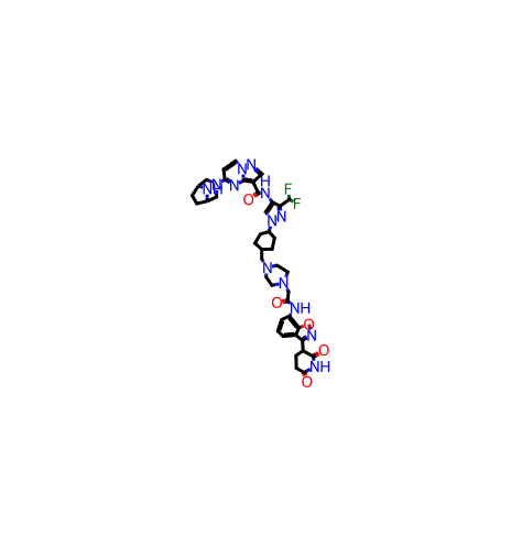 O=C1CCC(c2noc3c(NC(=O)CN4CCN(CC5CCC(n6cc(NC(=O)c7cnn8ccc(N9CC%10CCC(C9)N%10)nc78)c(C(F)F)n6)CC5)CC4)cccc23)C(=O)N1